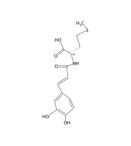 CSCC[C@H](NC(=O)C=Cc1ccc(O)c(O)c1)C(=O)O